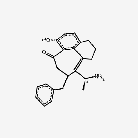 C[C@H](N)C1=C2CCCc3ccc(O)c(c32)C(=O)CC1Cc1ccccc1